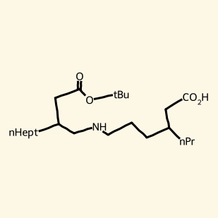 CCCCCCCC(CNCCCC(CCC)CC(=O)O)CC(=O)OC(C)(C)C